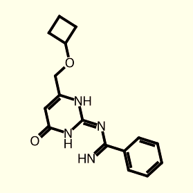 N=C(/N=c1/[nH]c(COC2CCC2)cc(=O)[nH]1)c1ccccc1